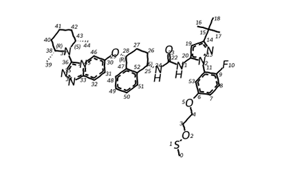 CSOCCOc1ccc(F)c(-n2nc(C(C)(C)C)cc2NC(=O)N[C@H]2CC[C@@H](Oc3ccc4nnc(N5[C@H](C)CCC[C@@H]5C)n4c3)c3ccccc32)c1